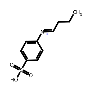 CCC/C=N/c1ccc(S(=O)(=O)O)cc1